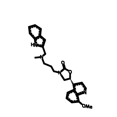 COc1cccc2c([C@@H]3CN(CCCN(C)Cc4cc5ccccc5[nH]4)C(=O)O3)ccnc12